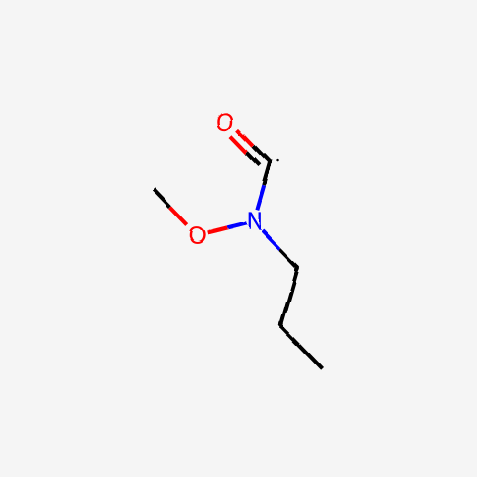 CCCN([C]=O)OC